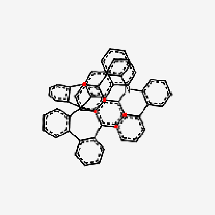 c1ccc(-c2ccccc2N(c2ccc3c(c2)C2(c4ccccc4-c4ccccc4-3)c3ccccc3-c3cc4ccccc4cc32)c2ccccc2-c2ccccc2)cc1